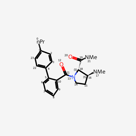 CCCc1ccc(-c2ccccc2C(=O)N2CC[C@H](NC)[C@H]2C(=O)NC)cc1